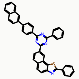 c1ccc(-c2nc(-c3ccc(-c4ccc5ccccc5c4)cc3)nc(-c3ccc4ccc5nc(-c6ccccc6)sc5c4c3)n2)cc1